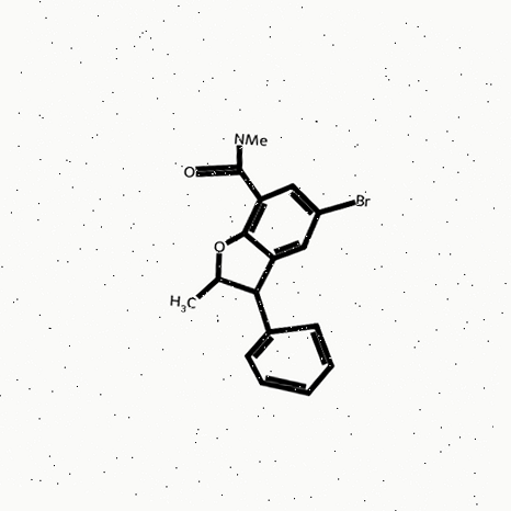 CNC(=O)c1cc(Br)cc2c1OC(C)C2c1ccccc1